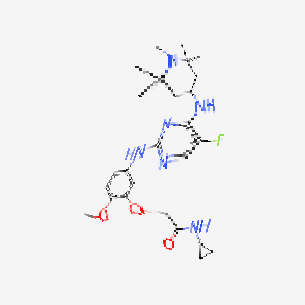 COc1ccc(Nc2ncc(F)c(NC3CC(C)(C)N(C)C(C)(C)C3)n2)cc1OCC(=O)NC1CC1